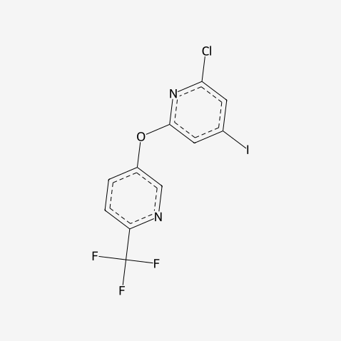 FC(F)(F)c1ccc(Oc2cc(I)cc(Cl)n2)cn1